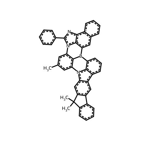 Cc1cc2c3c(c1)-n1c4cc5c(cc4c4cccc(c41)B3c1cc3ccccc3c3nc(-c4ccccc4)n-2c13)-c1ccccc1C5(C)C